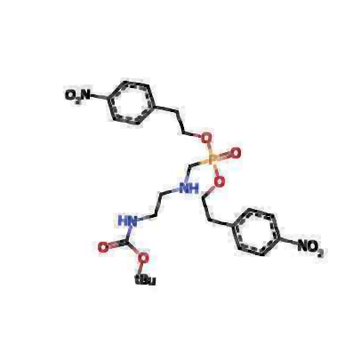 CC(C)(C)OC(=O)NCCNCP(=O)(OCCc1ccc([N+](=O)[O-])cc1)OCCc1ccc([N+](=O)[O-])cc1